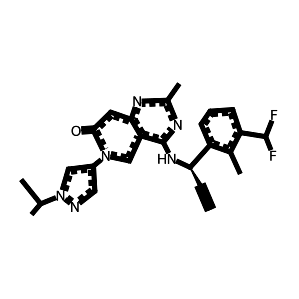 C#C[C@@H](Nc1nc(C)nc2cc(=O)n(-c3cnn(C(C)C)c3)cc12)c1cccc(C(F)F)c1C